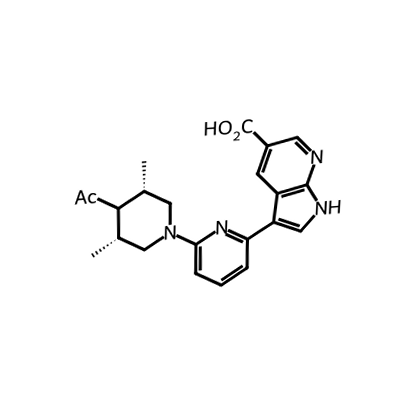 CC(=O)C1[C@H](C)CN(c2cccc(-c3c[nH]c4ncc(C(=O)O)cc34)n2)C[C@@H]1C